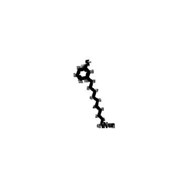 CCCCCCCCCCCCCCCCCCc1cccc([S])c1